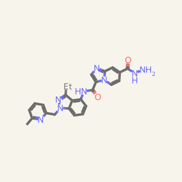 CCc1nn(Cc2cccc(C)n2)c2cccc(NC(=O)c3cnc4cc(C(=O)NN)ccn34)c12